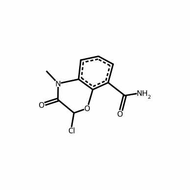 CN1C(=O)C(Cl)Oc2c(C(N)=O)cccc21